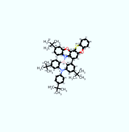 CC(C)(C)c1ccc(N2c3cc(C(C)(C)C)ccc3B3c4c(cc(C(C)(C)C)cc42)-c2cc4oc5ccccc5sc4c4oc5cc(C(C)(C)C)ccc5n3c24)cc1